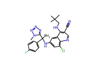 BC(Nc1cc(Cl)c2ncc(C#N)c(NCC(C)(C)C)c2c1)(c1ccc(F)cc1)c1nnnn1C